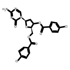 Nc1ncn([C@H]2CC(OC(=O)c3ccc(Cl)cc3)[C@@H](COC(=O)c3ccc(Cl)cc3)O2)c(=O)n1